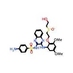 COC1=CC(OC)=C(OCC[S+]([O-])CCO)C(Nc2nc3ccccc3nc2NS(=O)(=O)c2ccc(N)cc2)C1